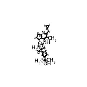 Cc1c(CC2CC2)nc2c(c1NC(=O)N=[S@@](N)(=O)c1cc(C(C)(C)O)cs1)CCC2